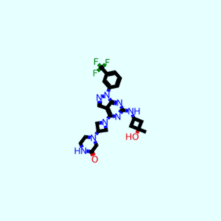 CC1(O)CC(Nc2nc(N3CC(N4CCNC(=O)C4)C3)c3cnn(-c4cccc(C(F)(F)F)c4)c3n2)C1